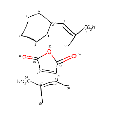 CC(=CC1CCCCC1)C(=O)O.CC=C(C)C(=O)O.O=C1C=CC(=O)O1